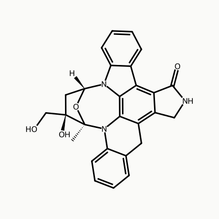 C[C@@]12O[C@H](C[C@@]1(O)CO)n1c3ccccc3c3c4c(c5c(c31)N2c1ccccc1C5)CNC4=O